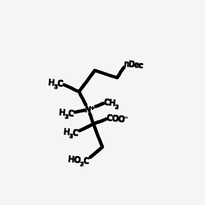 CCCCCCCCCCCCC(C)[N+](C)(C)C(C)(CC(=O)O)C(=O)[O-]